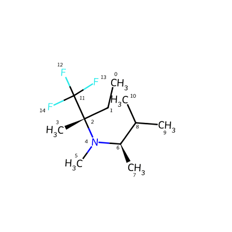 CC[C@](C)(N(C)[C@H](C)C(C)C)C(F)(F)F